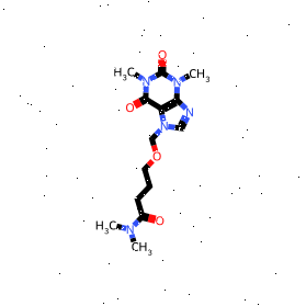 CN(C)C(=O)CCCOCn1cnc2c1c(=O)n(C)c(=O)n2C